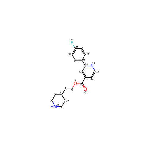 O=C(OCCC1CCNCC1)c1ccnc(-c2ccc(F)cc2)c1